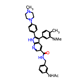 CNc1cc(-c2c(-c3ccc(N4CCN(C)CC4)cc3)[nH]c3ncc(C(=O)NCc4cccc(NC(C)=O)c4)cc23)ccc1C